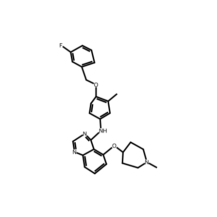 Cc1cc(Nc2ncnc3cccc(OC4CCN(C)CC4)c23)ccc1OCc1cccc(F)c1